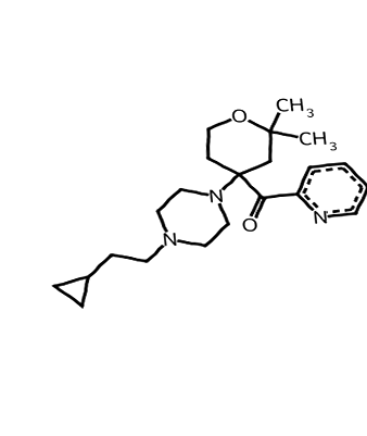 CC1(C)CC(C(=O)c2ccccn2)(N2CCN(CCC3CC3)CC2)CCO1